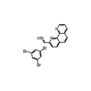 Brc1cc(Br)cc(Br)c1.N=Cc1ccc2ccc3cccnc3c2n1